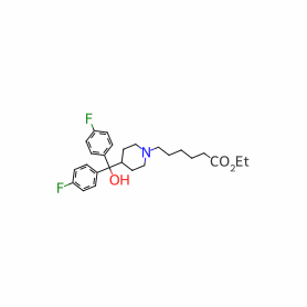 CCOC(=O)CCCCCN1CCC(C(O)(c2ccc(F)cc2)c2ccc(F)cc2)CC1